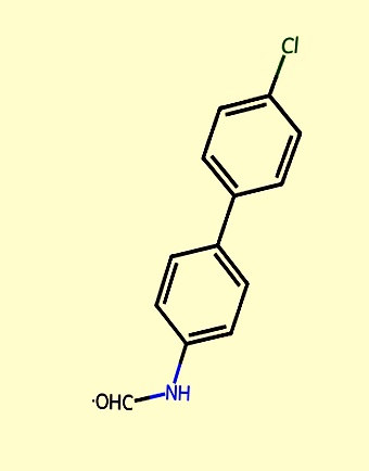 O=[C]Nc1ccc(-c2ccc(Cl)cc2)cc1